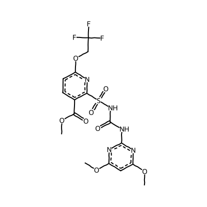 COC(=O)c1ccc(OCC(F)(F)F)nc1S(=O)(=O)NC(=O)Nc1nc(OC)cc(OC)n1